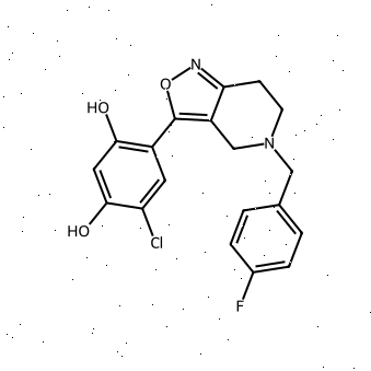 Oc1cc(O)c(-c2onc3c2CN(Cc2ccc(F)cc2)CC3)cc1Cl